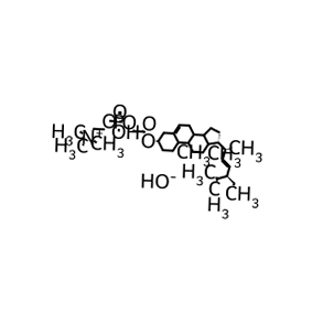 CC[C@H](/C=C/[C@@H](C)[C@H]1CCC2C3CC=C4C[C@@H](OC(=O)COP(=O)(O)OCC[N+](C)(C)C)CC[C@]4(C)C3CC[C@@]21C)C(C)C.[OH-]